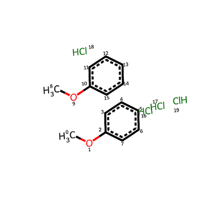 COc1ccccc1.COc1ccccc1.Cl.Cl.Cl.Cl